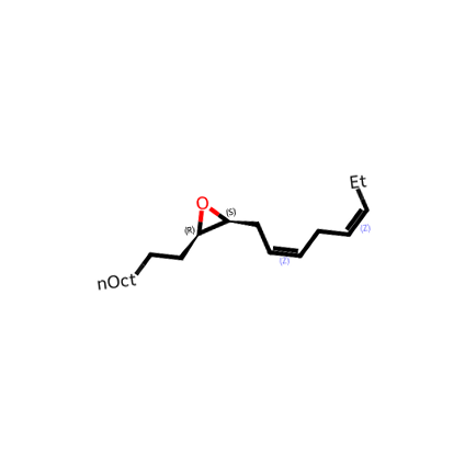 CC/C=C\C/C=C\C[C@@H]1O[C@@H]1CCCCCCCCCC